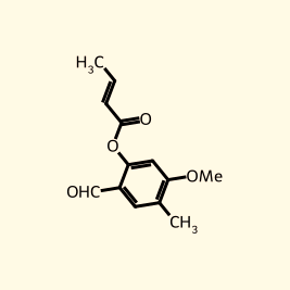 CC=CC(=O)Oc1cc(OC)c(C)cc1C=O